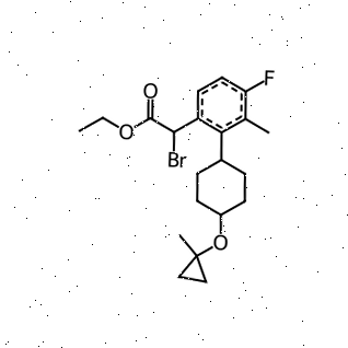 CCOC(=O)C(Br)c1ccc(F)c(C)c1C1CCC(OC2(C)CC2)CC1